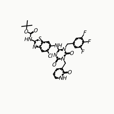 CC(C)(C)OC(=O)Nc1nc2cc(Cl)c(Nc3nc(=O)n(Cc4ccc[nH]c4=O)c(=O)n3Cc3cc(F)c(F)c(F)c3)cc2s1